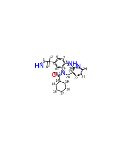 CC(C)(C=N)c1ccc2c(c1)N(C(=O)C1CCCCC1)Cc1cccnc1N2